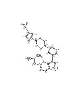 CC(C)Oc1cc2c(-c3ccnc(N4CCN(c5nnc(C6CC6)o5)CC4)c3)n[nH]c2cn1